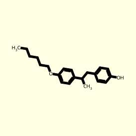 CCCCCCOc1ccc(C(C)Cc2ccc(O)cc2)cc1